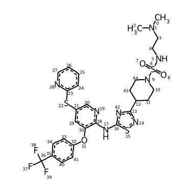 CN(C)CCNS(=O)(=O)N1CCC(c2nsc(Nc3ncc(Sc4ccccn4)cc3Oc3ccc(C(F)(F)F)cc3)n2)CC1